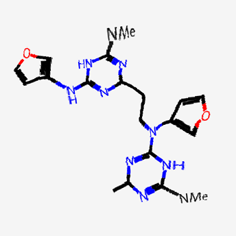 CNC1=NC(CCN(C2=NC(C)N=C(NC)N2)c2ccoc2)N=C(Nc2ccoc2)N1